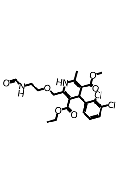 CCOC(=O)C1=C(COCCNC=O)NC(C)=C(C(=O)OC)C1c1cccc(Cl)c1Cl